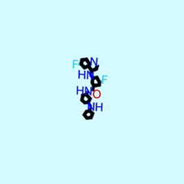 O=C(Nc1cccc(Nc2ccccc2)c1)c1cc(F)cc(Nc2ccnc3ccc(F)cc23)c1